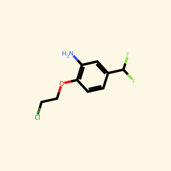 Nc1cc(C(F)F)ccc1OCCCl